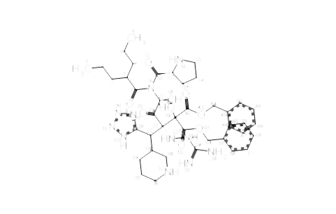 CCCC(CCC)C(=O)N(C(=O)[C@@H]1CCCN1)[C@@H](C)C(=O)[C@](NNC(=N)N)(C(c1nnn[nH]1)C1CCCNC1)C(O)(C(=O)OCc1ccccc1)C(=O)OCc1ccccc1